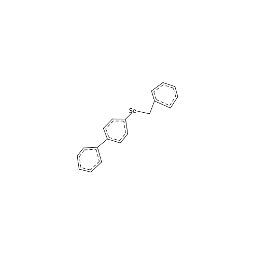 [c]1ccc(-c2ccc([Se]Cc3ccccc3)cc2)cc1